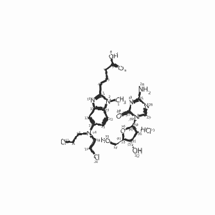 Cl.Cn1c(CCCC(=O)O)nc2cc(N(CCCl)CCCl)ccc21.Nc1ncn([C@H]2C[C@H](O)[C@@H](CO)O2)c(=O)n1